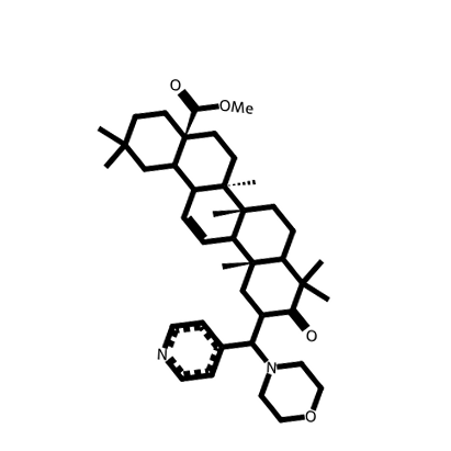 COC(=O)[C@]12CCC(C)(C)CC1C1C=CC3[C@@]4(C)CC(C(c5ccncc5)N5CCOCC5)C(=O)C(C)(C)C4CC[C@@]3(C)[C@]1(C)CC2